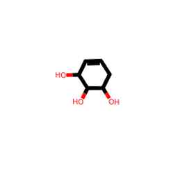 OC1C=CCC(O)C1O